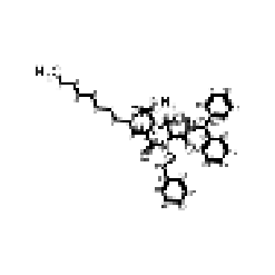 CCCCCCCCCCC(CC(N)=O)C(=O)N(OCc1ccccc1)C(C(=O)NC(c1ccccc1)c1ccccc1)C(C)(C)C